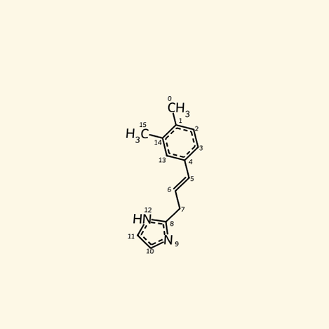 Cc1ccc(C=CCc2ncc[nH]2)cc1C